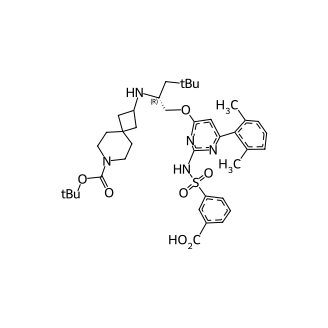 Cc1cccc(C)c1-c1cc(OC[C@@H](CC(C)(C)C)NC2CC3(CCN(C(=O)OC(C)(C)C)CC3)C2)nc(NS(=O)(=O)c2cccc(C(=O)O)c2)n1